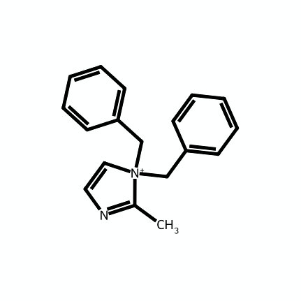 CC1=NC=C[N+]1(Cc1ccccc1)Cc1ccccc1